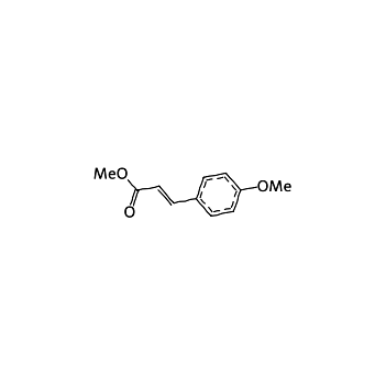 COC(=O)/C=C/c1ccc(OC)cc1